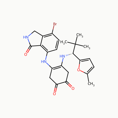 Cc1ccc([C@H](NC2=C(Nc3ccc(Br)c4c3C(=O)NC4)CC(=O)C(=O)C2)C(C)(C)C)o1